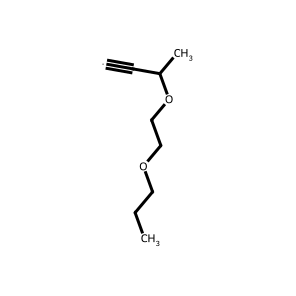 [C]#CC(C)OCCOCCC